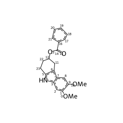 COc1cc2[nH]c3c(c2cc1OC)CC(OC(=O)c1ccccc1)CC3